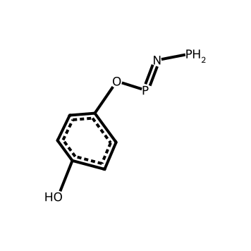 Oc1ccc(OP=NP)cc1